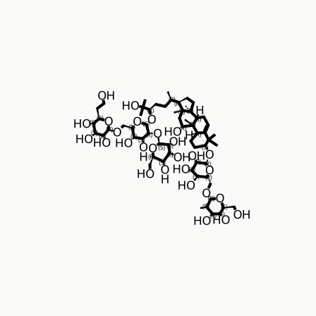 C[C@H]1[C@H](OC[C@H]2O[C@@H](O[C@H]3CC[C@@H]4C(=CC[C@@H]5[C@@]4(C)[C@H](O)C[C@]4(C)[C@@H]([C@H](C)CC[C@@H](O[C@@H]6O[C@H](CO[C@@H]7O[C@H](CCO)[C@@H](O)[C@H](O)[C@H]7O)[C@@H](O)[C@H](O)[C@H]6O[C@@H]6O[C@H](CO)[C@@H](O)[C@H](O)[C@H]6O)C(C)(C)O)CC[C@@]54C)C3(C)C)[C@H](O)[C@@H](O)[C@@H]2O)O[C@@H](CO)[C@@H](O)[C@@H]1O